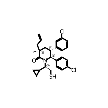 C=CC[C@@]1(C)C[C@H](c2cccc(Cl)c2)[C@@H](c2ccc(Cl)cc2)N([C@H](CS)C2CC2)C1=O